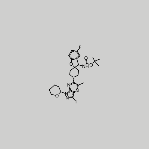 Cc1nc2c(I)nn(C3CCCCO3)c2nc1N1CCC2(CC1)Oc1ccc(F)cc1[C@H]2NC(=O)OC(C)(C)C